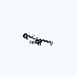 Cc1ccccc1CC[C@@H](O)/C=C/[C@@H]1[C@H]2CC(CCCCCN(C)C)=C[C@H]2C[C@H]1O